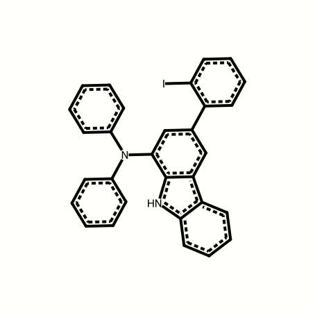 Ic1ccccc1-c1cc(N(c2ccccc2)c2ccccc2)c2[nH]c3ccccc3c2c1